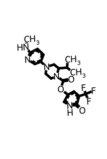 CNc1ccc(N2CCN(C(=O)Oc3c[nH]c(=O)c(C(F)(F)F)c3)C(C(C)C)C2)cn1